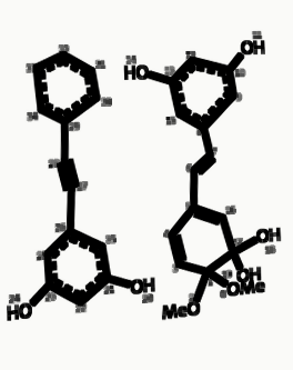 COC1(OC)C=CC(C=Cc2cc(O)cc(O)c2)=CC1(O)O.Oc1cc(O)cc(C#Cc2ccccc2)c1